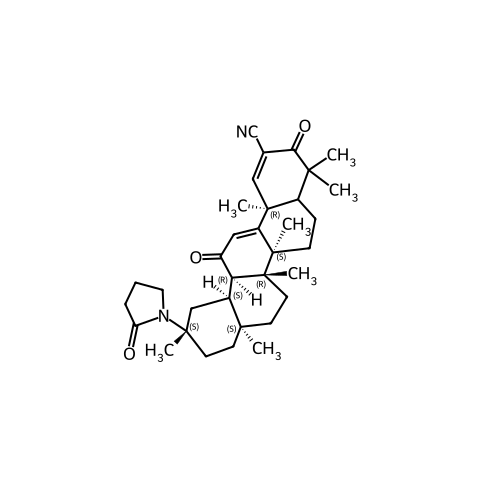 CC1(C)C(=O)C(C#N)=C[C@]2(C)C3=CC(=O)[C@@H]4[C@@H]5C[C@@](C)(N6CCCC6=O)CC[C@]5(C)CC[C@@]4(C)[C@]3(C)CCC12